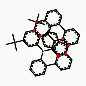 CC(C)(C)c1cc(N(c2ccccc2-c2cccc3cccc(-c4ccccc4)c23)c2ccccc2-c2cccc3sc4ccccc4c23)cc(C(C)(C)C)c1